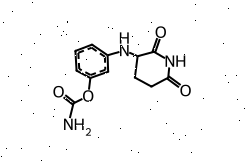 NC(=O)Oc1cccc(NC2CCC(=O)NC2=O)c1